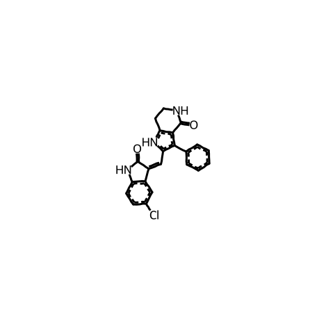 O=C1Nc2ccc(Cl)cc2C1=Cc1[nH]c2c(c1-c1ccccc1)C(=O)NCC2